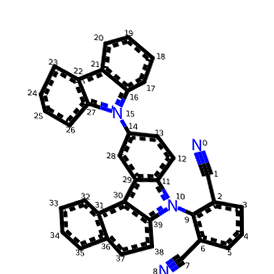 N#Cc1cccc(C#N)c1-n1c2ccc(-n3c4ccccc4c4ccccc43)cc2c2c3ccccc3ccc21